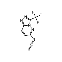 FC(F)(F)c1nnc2ccc(N=C=S)nn12